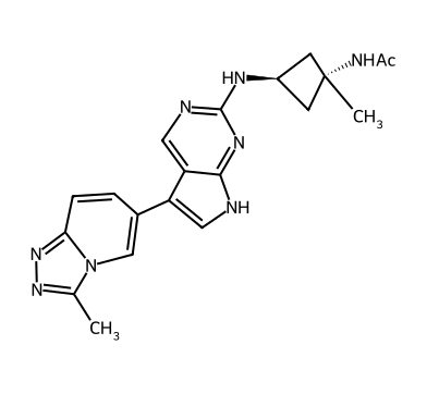 CC(=O)N[C@]1(C)C[C@@H](Nc2ncc3c(-c4ccc5nnc(C)n5c4)c[nH]c3n2)C1